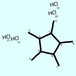 CC1C(C)C(C)C(C)C1C.Cl.Cl.Cl.Cl